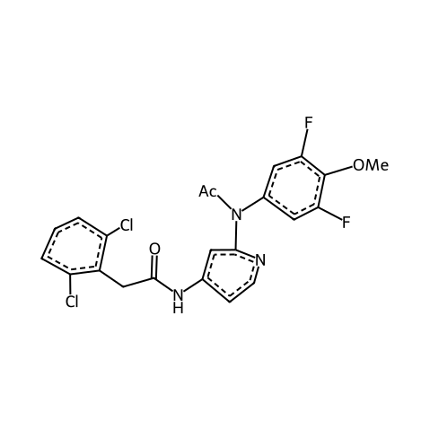 COc1c(F)cc(N(C(C)=O)c2cc(NC(=O)Cc3c(Cl)cccc3Cl)ccn2)cc1F